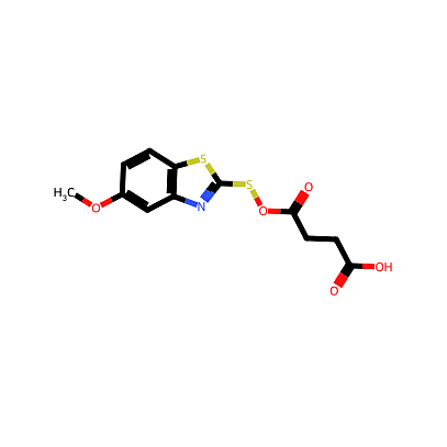 COc1ccc2sc(SOC(=O)CCC(=O)O)nc2c1